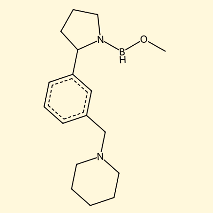 COBN1CCCC1c1cccc(CN2CCCCC2)c1